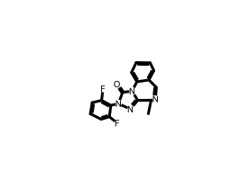 CC1N=Cc2ccccc2-n2c1nn(-c1c(F)cccc1F)c2=O